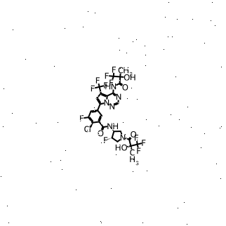 CC(O)(C(=O)Nc1ncnn2c(-c3cc(F)c(Cl)c(C(=O)N[C@@H]4CN(C(=O)C(C)(O)C(F)(F)F)C[C@@H]4F)c3)cc(C(F)(F)F)c12)C(F)(F)F